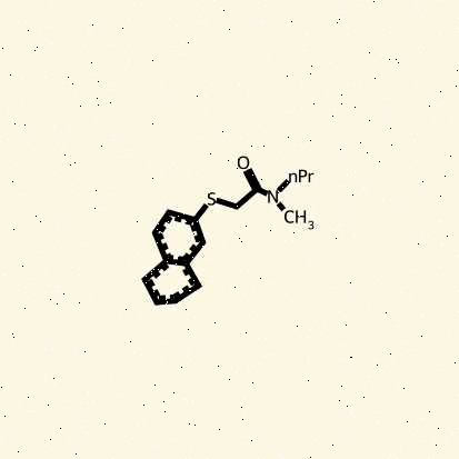 CCCN(C)C(=O)CSc1ccc2ccccc2c1